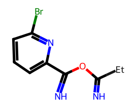 CCC(=N)OC(=N)c1cccc(Br)n1